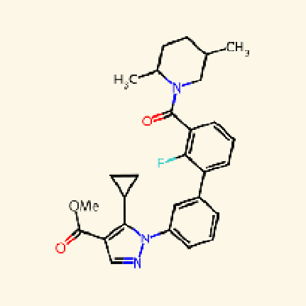 COC(=O)c1cnn(-c2cccc(-c3cccc(C(=O)N4CC(C)CCC4C)c3F)c2)c1C1CC1